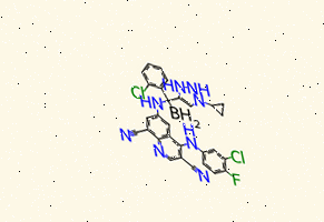 BC(Nc1cc(C#N)c2ncc(C#N)c(Nc3ccc(F)c(Cl)c3)c2c1)(C1=CN(C2CC2)NN1)c1ccccc1Cl